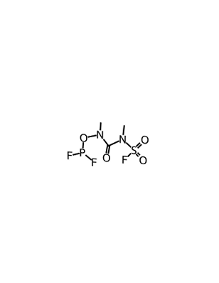 CN(OP(F)F)C(=O)N(C)S(=O)(=O)F